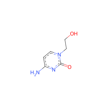 Nc1ccn(CCO)c(=O)n1